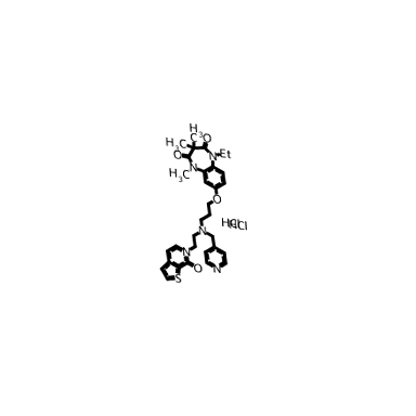 CCN1C(=O)C(C)(C)C(=O)N(C)c2cc(OCCCN(CCn3ccc4ccsc4c3=O)Cc3ccncc3)ccc21.Cl.Cl